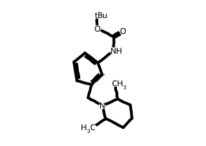 CC1CCCC(C)N1Cc1[c]c(NC(=O)OC(C)(C)C)ccc1